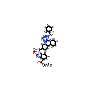 CCOc1nc2c(C(=O)OC)cccc2n1Cc1ccc(-c2ccccc2-c2nnnn2Cc2ccccc2)cc1